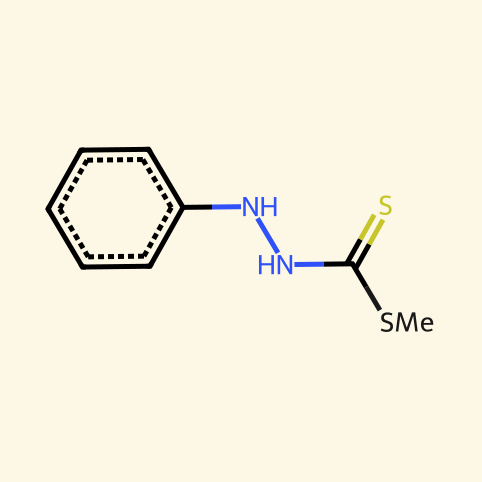 CSC(=S)NNc1ccccc1